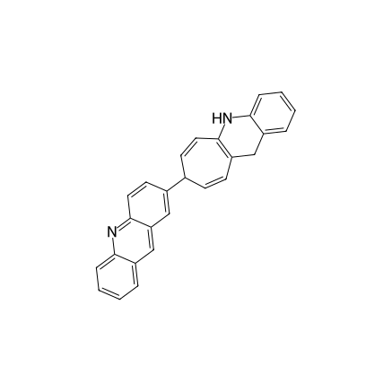 C1=CC(c2ccc3nc4ccccc4cc3c2)C=CC2=C1Cc1ccccc1N2